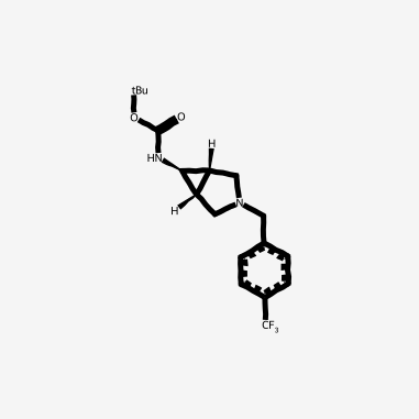 CC(C)(C)OC(=O)N[C@H]1[C@@H]2CN(Cc3ccc(C(F)(F)F)cc3)C[C@@H]21